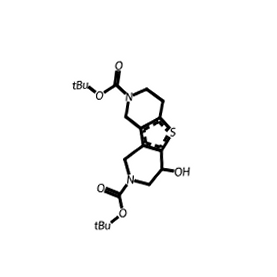 CC(C)(C)OC(=O)N1CCc2sc3c(c2C1)CN(C(=O)OC(C)(C)C)CC3O